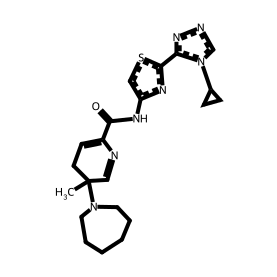 CC1(N2CCCCCC2)C=NC(C(=O)Nc2csc(-c3nncn3C3CC3)n2)=CC1